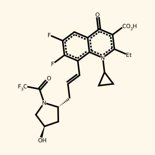 CCc1c(C(=O)O)c(=O)c2cc(F)c(F)c(C=CC[C@@H]3C[C@@H](O)CN3C(=O)C(F)(F)F)c2n1C1CC1